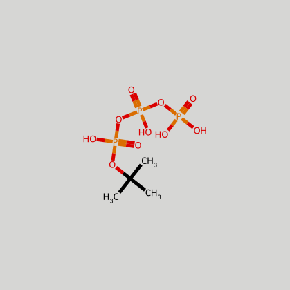 CC(C)(C)OP(=O)(O)OP(=O)(O)OP(=O)(O)O